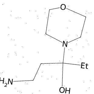 CCC(O)(CCN)N1CCOCC1